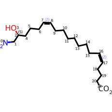 NC[C@@H](O)CCC/C=C\CCCCCCC/C=C\CCCC(=O)O